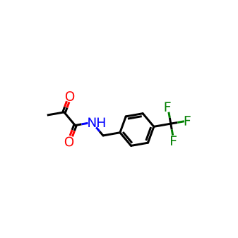 CC(=O)C(=O)NCc1ccc(C(F)(F)F)cc1